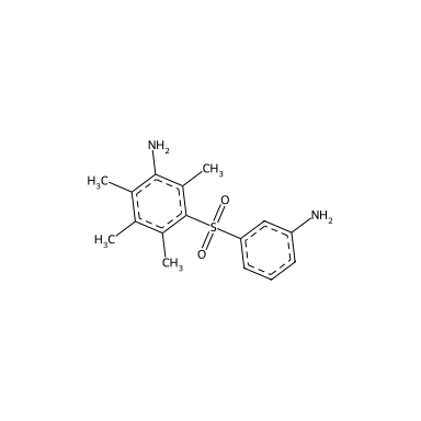 Cc1c(C)c(N)c(C)c(S(=O)(=O)c2cccc(N)c2)c1C